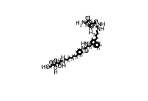 N=C(NCCCCc1ccc(C[C@H](N)C(=O)Nc2ccc(CCCCCCNC[C@H](O)[C@@H](O)[C@H](O)[C@H](O)CO)cc2)c2ccccc12)NC(=O)c1nc(Cl)c(N)nc1N